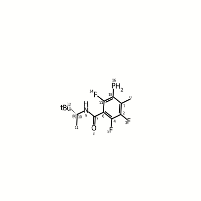 Cc1c(F)c(F)c(C(=O)N[C@H](C)C(C)(C)C)c(F)c1P